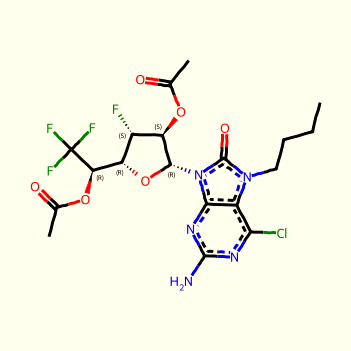 CCCCn1c(=O)n([C@@H]2O[C@H]([C@@H](OC(C)=O)C(F)(F)F)[C@H](F)[C@H]2OC(C)=O)c2nc(N)nc(Cl)c21